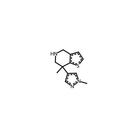 Cn1cc(C2(C)CNCc3ccsc32)cn1